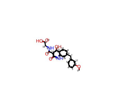 COc1cccc(Cc2ccc3c(O)c(C(=O)NCC(=O)O)c(=O)[nH]c3c2)c1